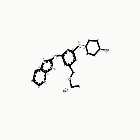 C[C@@H](NCc1cc(Nc2nc3cccnc3s2)nc(N[C@H]2CC[C@H](O)CC2)c1)C(C)(C)C